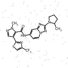 CC1CCCN1c1nc2cc(NC(=O)c3c(-c4nc(C(F)(F)F)cs4)cnn3C)ccn2n1